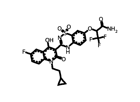 NC(=O)C(Oc1ccc2c(c1)S(=O)(=O)N=C(c1c(O)c3cc(F)ccc3n(CCC3CC3)c1=O)N2)C(F)(F)F